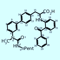 CCCCCNC(=O)N(C)c1cccc(-c2ccc(CC(Nc3ccccc3C(=O)c3ccccc3)C(=O)O)cc2)c1